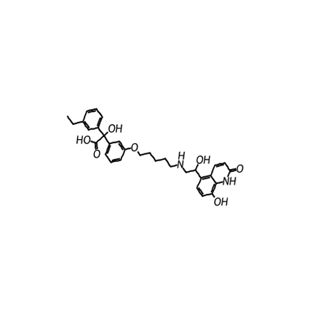 CCc1cccc(C(O)(C(=O)O)c2cccc(OCCCCCNCC(O)c3ccc(O)c4[nH]c(=O)ccc34)c2)c1